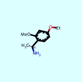 CCOc1ccc([C@@H](C)N)c(OC)c1